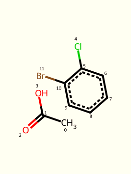 CC(=O)O.Clc1ccccc1Br